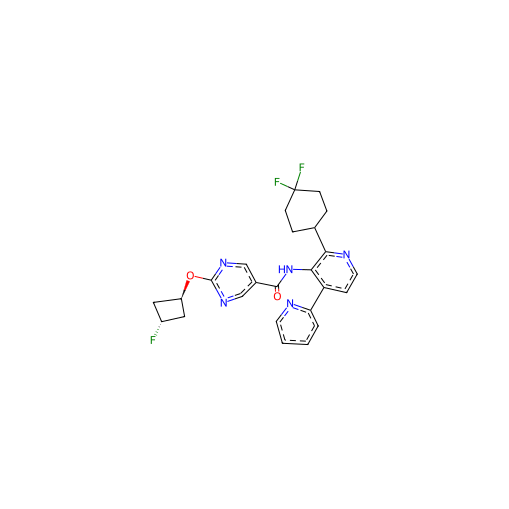 O=C(Nc1c(-c2ccccn2)ccnc1C1CCC(F)(F)CC1)c1cnc(O[C@H]2C[C@H](F)C2)nc1